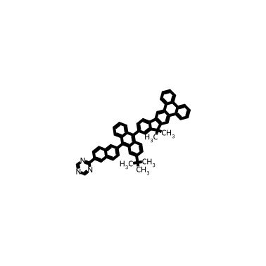 CC(C)(C)c1ccc2c(-c3ccc4c(c3)C(C)(C)c3cc5c6ccccc6c6ccccc6c5cc3-4)c3ccccc3c(-c3ccc4cc(-c5ncncn5)ccc4c3)c2c1